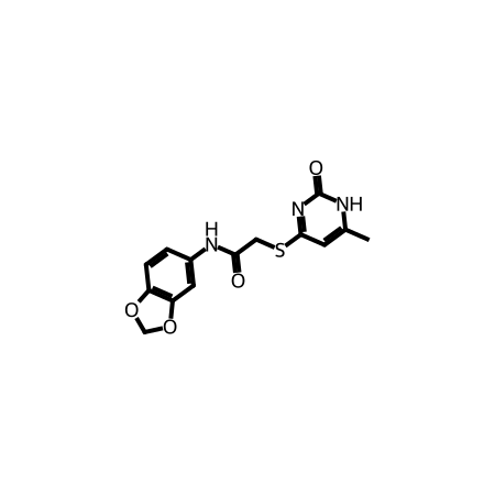 Cc1cc(SCC(=O)Nc2ccc3c(c2)OCO3)nc(=O)[nH]1